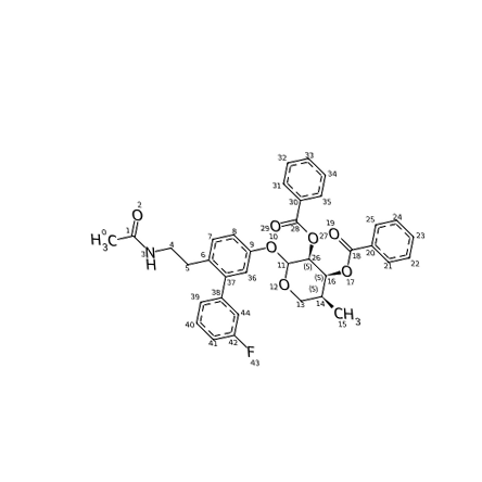 CC(=O)NCCc1ccc(OC2OC[C@H](C)[C@H](OC(=O)c3ccccc3)[C@@H]2OC(=O)c2ccccc2)cc1-c1cccc(F)c1